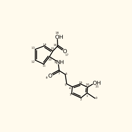 Cc1ccc(CCC(=O)Nc2ccccc2C(=O)O)cc1O